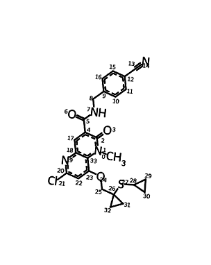 Cn1c(=O)c(C(=O)NCc2ccc(C#N)cc2)cc2nc(Cl)cc(OCC3(SC4CC4)CC3)c21